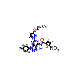 CC(=O)OCCOc1ccn(-c2nc(NC(=O)c3ccc([N+](=O)[O-])s3)c3cnn(-c4ccc(F)cc4)c3n2)n1